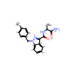 CC(C)(C)C(NC(=O)c1nn(Cc2ccc(C#N)cc2)c2ccccc12)C(N)=O